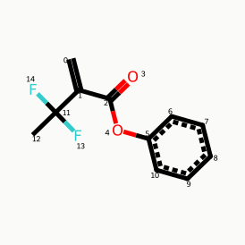 C=C(C(=O)Oc1ccccc1)C(C)(F)F